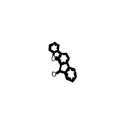 O=C1c2ccccc2-c2ccc3c(oc4ccccc43)c21